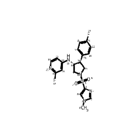 Cn1cnc(S(=O)(=O)N2C[C@H](Nc3ccnc(F)c3)[C@@H](c3ccc(F)cc3)C2)c1